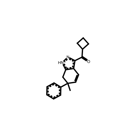 CC1(c2ccccc2)C=Cc2c(C(=O)C3CCC3)n[nH]c2C1